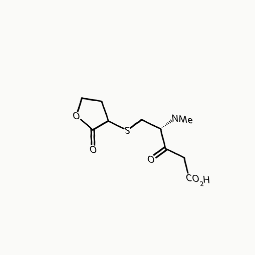 CN[C@@H](CSC1CCOC1=O)C(=O)CC(=O)O